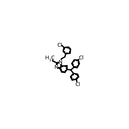 CCc1nc2ccc(C(c3ccc(Cl)cc3)c3ccc(Cl)cc3)cc2n1CCc1cccc(Cl)c1